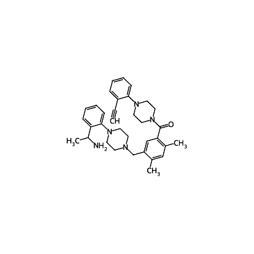 C#Cc1ccccc1N1CCN(C(=O)c2cc(CN3CCN(c4ccccc4C(C)N)CC3)c(C)cc2C)CC1